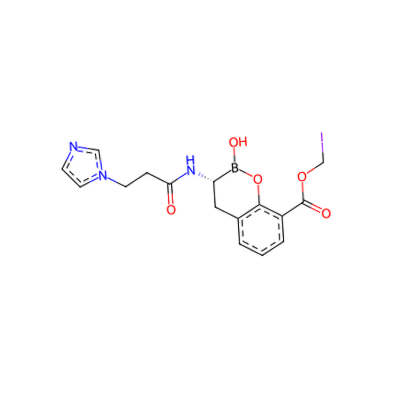 O=C(CCn1ccnc1)N[C@H]1Cc2cccc(C(=O)OCI)c2OB1O